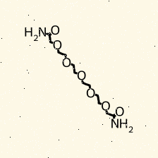 NC(=O)COCCOCCOCCOCCOCC(N)=O